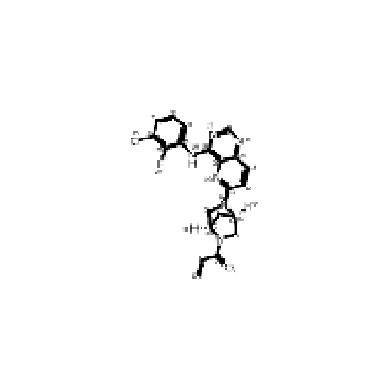 C=CC(=O)N1C[C@H]2C[C@@H]1CN2c1ccc2ncnc(Nc3cccc(Cl)c3F)c2n1